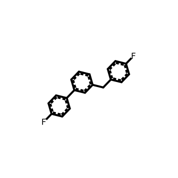 Fc1ccc(Cc2cccc(-c3ccc(F)cc3)c2)cc1